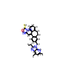 CCc1nc2c(C)cc(C)nc2n1Cc1ccc2c(c1)CCc1ccccc1C2=Cc1noc(=S)[nH]1